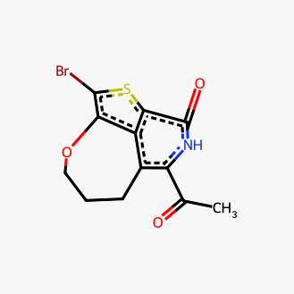 CC(=O)c1[nH]c(=O)c2sc(Br)c3c2c1CCCO3